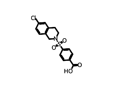 O=C(O)c1ccc(S(=O)(=O)N2CCc3cc(Cl)ccc3C2)cc1